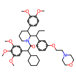 CCC(c1cccc(OCCN2CCOCC2)c1)C1C(c2ccc(OC)c(OC)c2)CCCN1C(=O)C(c1cc(OC)c(OC)c(OC)c1)C1CCCCC1